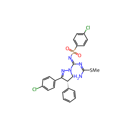 CS/C(N)=N/C(=N\S(=O)(=O)c1ccc(Cl)cc1)N1C[C@H](c2ccccc2)C(c2ccc(Cl)cc2)=N1